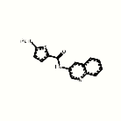 CCCCCc1ccc(C(=O)Nc2cnc3ccccc3c2)s1